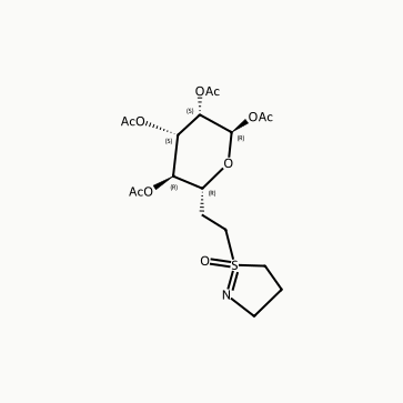 CC(=O)O[C@H]1O[C@H](CCS2(=O)=NCCC2)[C@@H](OC(C)=O)[C@H](OC(C)=O)[C@@H]1OC(C)=O